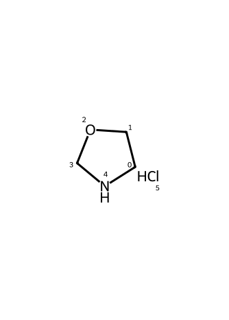 C1COCN1.Cl